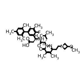 COC1CN(CCc2nn([C@@H](CC(C)C)C(=O)N[C@@H](CC(=O)O)c3cc(-c4c(C)cc(C)cc4C)cc(C)c3F)c(=O)c(C)c2C)C1